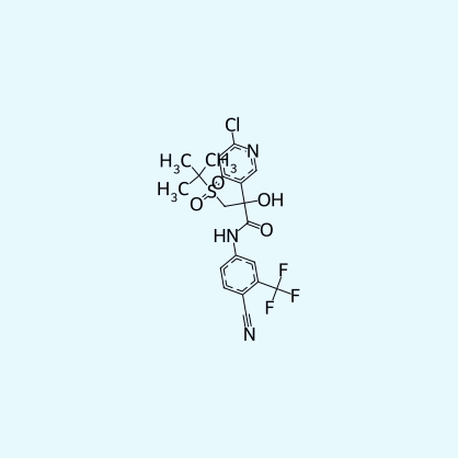 CC(C)(C)S(=O)(=O)CC(O)(C(=O)Nc1ccc(C#N)c(C(F)(F)F)c1)c1ccc(Cl)nc1